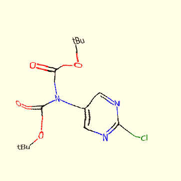 CC(C)(C)OC(=O)N(C(=O)OC(C)(C)C)c1cnc(Cl)nc1